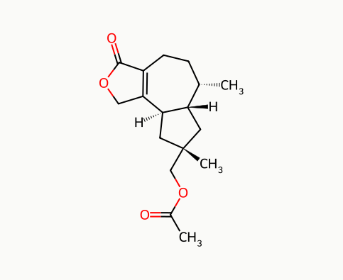 CC(=O)OC[C@@]1(C)C[C@H]2[C@@H](C)CCC3=C(COC3=O)[C@@H]2C1